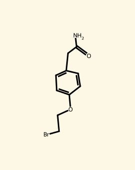 NC(=O)Cc1ccc(OCCBr)cc1